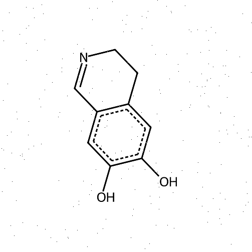 Oc1cc2c(cc1O)CCN=C2